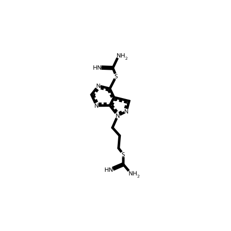 N=C(N)SCCCn1ncc2c(SC(=N)N)ncnc21